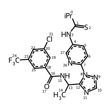 CC(C)C(=S)Nc1ccc(-n2ncnc2C(C)NC(=O)c2cc(Cl)cc(C(F)(F)F)c2)nc1